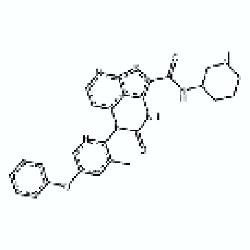 Cc1cc(Oc2ccccc2)cnc1N1C(=O)Nc2c(C(=O)NC3CCCNC3)sc3nccc1c23